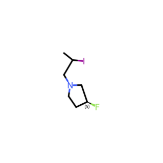 CC(I)CN1CC[C@H](F)C1